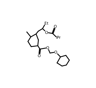 CCC(CC1CC(C(=O)OCOC2CCCCC2)CCC1C)OC(=O)C(C)C